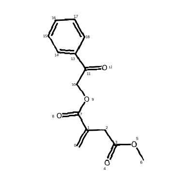 C=C(CC(=O)OC)C(=O)OCC(=O)c1ccccc1